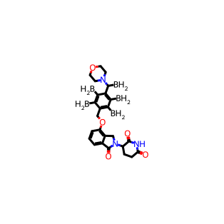 Bc1c(B)c(C(B)N2CCOCC2)c(B)c(B)c1COc1cccc2c1CN(C1CCC(=O)NC1=O)C2=O